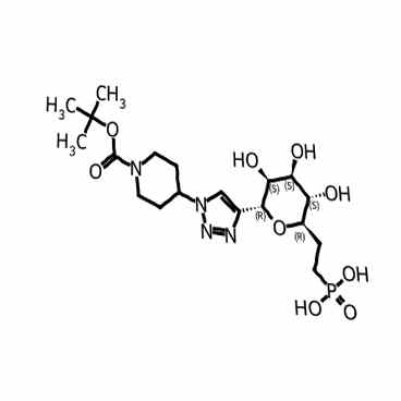 CC(C)(C)OC(=O)N1CCC(n2cc([C@H]3O[C@H](CCP(=O)(O)O)[C@@H](O)[C@H](O)[C@@H]3O)nn2)CC1